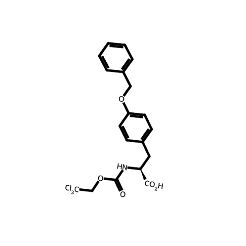 O=C(N[C@@H](Cc1ccc(OCc2ccccc2)cc1)C(=O)O)OCC(Cl)(Cl)Cl